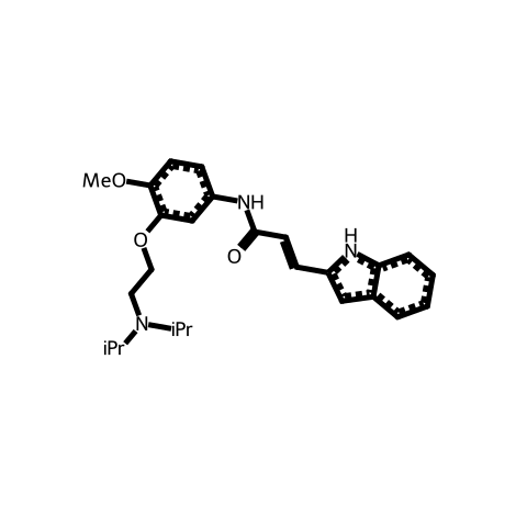 COc1ccc(NC(=O)C=Cc2cc3ccccc3[nH]2)cc1OCCN(C(C)C)C(C)C